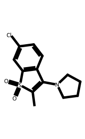 CC1=C(N2CCCC2)c2ccc(Cl)cc2S1(=O)=O